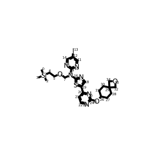 C[Si](C)(C)CCOCN(c1ncc(I)cn1)c1ncc(-c2ccnc(OC3CCC4(CC3)COC4)n2)s1